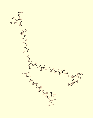 CCC(CCCOC(=O)NCCCCCCNC(=O)CCCOC1OC(CO)CCC1NC(C)=O)(CCCOC(=O)NCCCCCCNC(=O)CCCOC1OC(CO)CC(C)C1NC(C)=O)CCCOC(=O)NCCCCCCNC(=O)CCCOC1OC(CO)CC(C)C1NC(C)=O